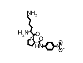 NCCCC[C@H](N)C(=O)N1CCC[C@H]1C(=O)Nc1ccc([N+](=O)[O-])cc1